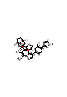 CC(=O)c1c([C@H]2C[C@H]3CC[C@@H](C2)N3C(=O)c2nnc[nH]2)nc2c(-c3cnc(-c4cc[nH]n4)c(F)c3)cnn2c1N